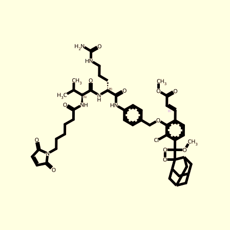 COC(=O)/C=C/c1ccc(C2(OC)OOC23C2CC4CC(C2)CC3C4)c(Cl)c1OCc1ccc(NC(=O)[C@@H](CCCNC(N)=O)NC(=O)[C@@H](NC(=O)CCCCCN2C(=O)C=CC2=O)C(C)C)cc1